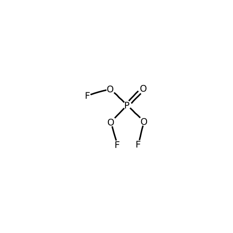 O=P(OF)(OF)OF